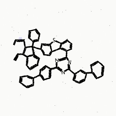 C=CC1=C(/C=C\C)C(c2ccccc2)(c2ccc3c(c2)sc2cccc(-c4nc(-c5ccc(-c6ccccc6)cc5)nc(-c5cccc(-c6ccccc6)c5)n4)c23)c2ccccc21